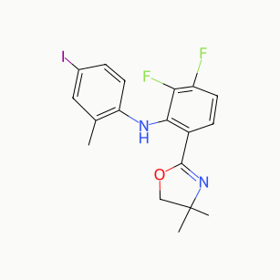 Cc1cc(I)ccc1Nc1c(C2=NC(C)(C)CO2)ccc(F)c1F